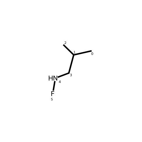 CC(C)CNF